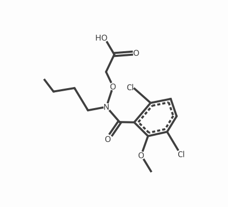 CCCCN(OCC(=O)O)C(=O)c1c(Cl)ccc(Cl)c1OC